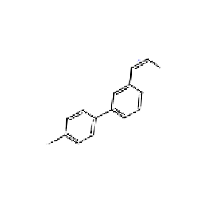 [CH2]c1ccc(-c2cccc(/C=C\C)c2)cc1